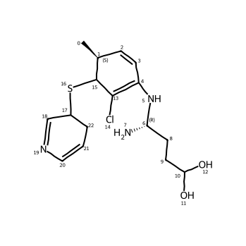 C[C@H]1C=CC(N[C@@H](N)CCC(O)O)=C(Cl)C1SC1C=NC=CC1